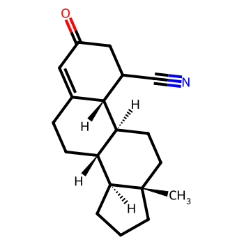 C[C@@]12CCC[C@H]1[C@@H]1CCC3=CC(=O)CC(C#N)[C@@H]3[C@H]1CC2